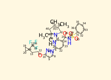 CC1CN(c2nc(-n3ccc(OCCC4(C(F)(F)F)CC4)n3)ccc2C(=O)NS(=O)(=O)c2ccccc2)C(C)(C)C[C@@H]1C